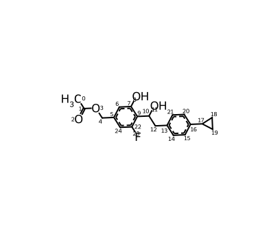 CC(=O)OCc1cc(O)c(C(O)Cc2ccc(C3CC3)cc2)c(F)c1